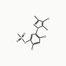 Cc1nn(-c2cc(OS(C)(=O)=O)c(Cl)cc2Cl)c(C)c1Cl